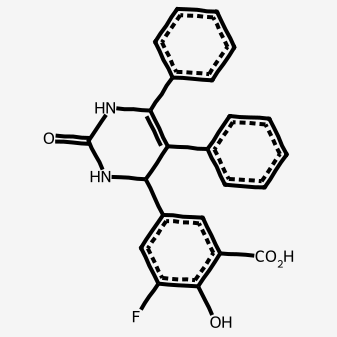 O=C1NC(c2ccccc2)=C(c2ccccc2)C(c2cc(F)c(O)c(C(=O)O)c2)N1